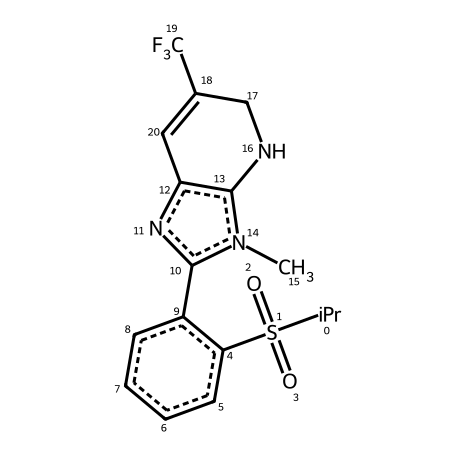 CC(C)S(=O)(=O)c1ccccc1-c1nc2c(n1C)NCC(C(F)(F)F)=C2